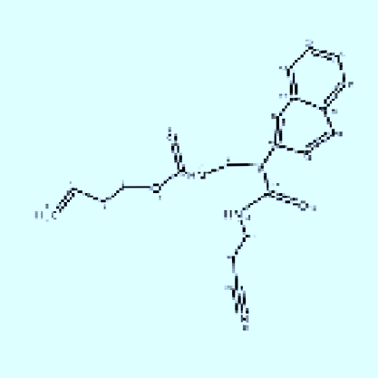 C=CCCOC(=O)NCC(C(=O)NCCC#N)c1ccc2ccccc2c1